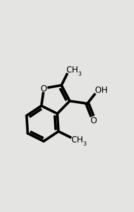 Cc1oc2cccc(C)c2c1C(=O)O